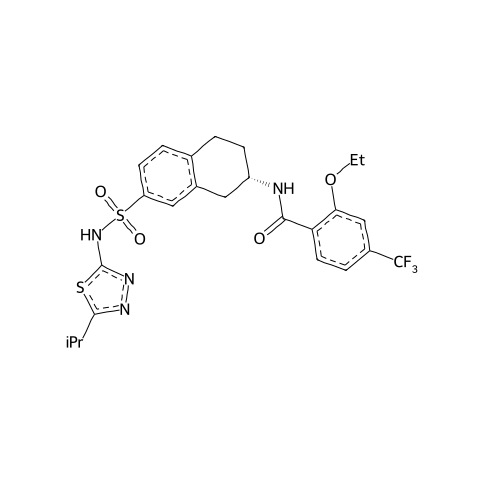 CCOc1cc(C(F)(F)F)ccc1C(=O)N[C@H]1CCc2ccc(S(=O)(=O)Nc3nnc(C(C)C)s3)cc2C1